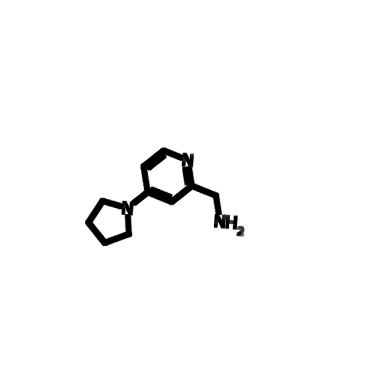 NCc1cc(N2CCCC2)ccn1